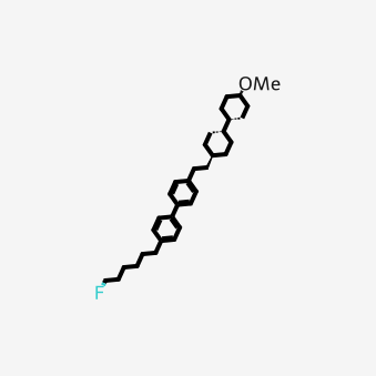 CO[C@H]1CC[C@H]([C@H]2CC[C@H](CCc3ccc(-c4ccc(CCCCCCF)cc4)cc3)CC2)CC1